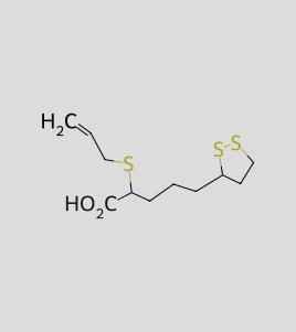 C=CCSC(CCCC1CCSS1)C(=O)O